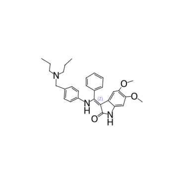 CCCN(CCC)Cc1ccc(N/C(=C2\C(=O)Nc3cc(OC)c(OC)cc32)c2ccccc2)cc1